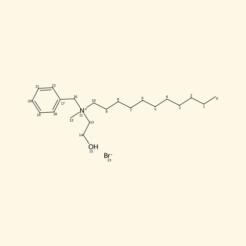 CCCCCCCCCCC[N+](C)(CCO)Cc1ccccc1.[Br-]